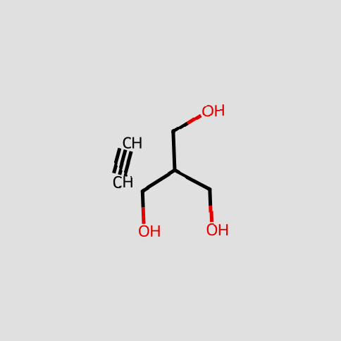 C#C.OCC(CO)CO